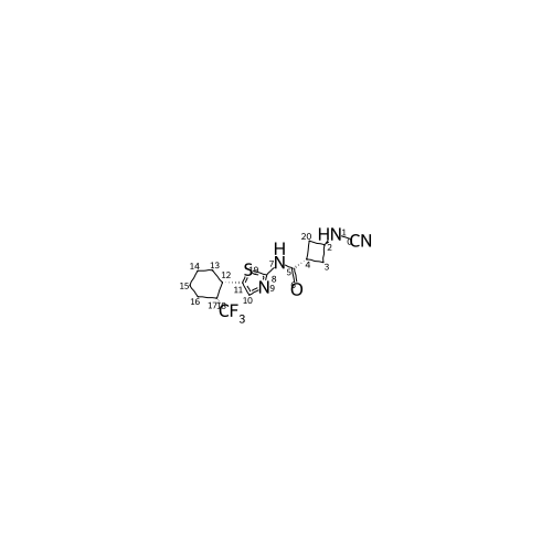 N#CN[C@H]1C[C@H](C(=O)Nc2ncc([C@H]3CCCC[C@H]3C(F)(F)F)s2)C1